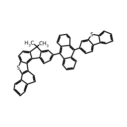 CC1(C)c2cc(-c3c4ccccc4c(-c4ccc5c(c4)sc4ccccc45)c4ccccc34)ccc2-c2c1ccc1sc3c4ccccc4ccc3c21